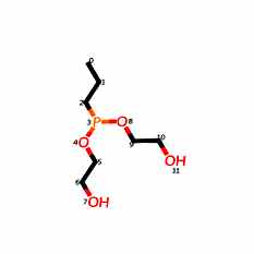 CCCP(OCCO)OCCO